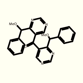 COC(c1ccccc1)c1ncncc1C(=O)c1cncnc1C(OC)c1ccccc1